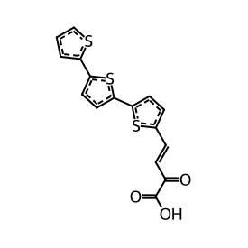 O=C(O)C(=O)/C=C/c1ccc(-c2ccc(-c3cccs3)s2)s1